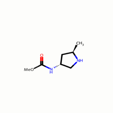 COC(=O)N[C@H]1CN[C@H](C)C1